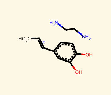 NCCN.O=C(O)/C=C/c1ccc(O)c(O)c1